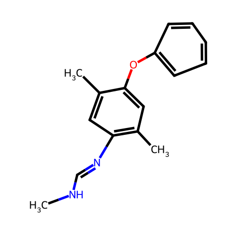 CNC=Nc1cc(C)c(Oc2ccccc2)cc1C